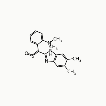 Cc1cc2nc(C(=S=O)c3ccccc3N(C)C)[nH]c2cc1C